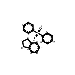 O=S(=O)(c1ccccc1)c1ccccc1.c1ccc2c(c1)CCC2